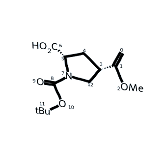 C=C(OC)[C@H]1C[C@@H](C(=O)O)N(C(=O)OC(C)(C)C)C1